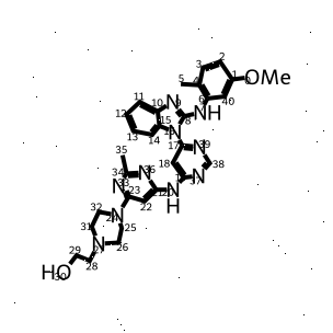 COc1ccc(C)c(Nc2nc3ccccc3n2-c2cc(Nc3cc(N4CCN(CCO)CC4)nc(C)n3)ncn2)c1